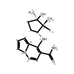 C[C@@]1(O)CC[C@@H](Nc2c(C(N)=O)cnn3cccc23)[C@@]1(C)F